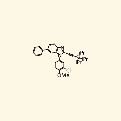 COc1ccc(-n2c(C#C[Si](C(C)C)(C(C)C)C(C)C)nc3ccc(-c4ccccc4)cc32)cc1Cl